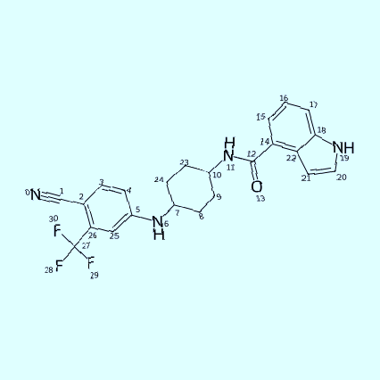 N#Cc1ccc(NC2CCC(NC(=O)c3cccc4[nH]ccc34)CC2)cc1C(F)(F)F